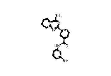 CC(C)c1cccc(NC(=O)c2cccc(-c3nc(N)c4ccccc4n3)c2)c1